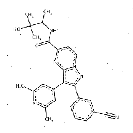 Cc1cc(-c2c(-c3cccc(C#N)c3)nn3ccc(C(=O)NC(C)C(C)(C)O)nc23)cc(C)n1